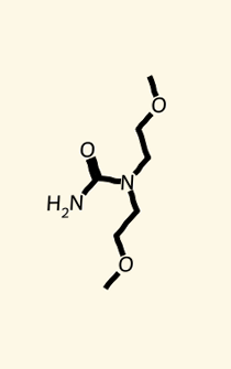 COCCN(CCOC)C(N)=O